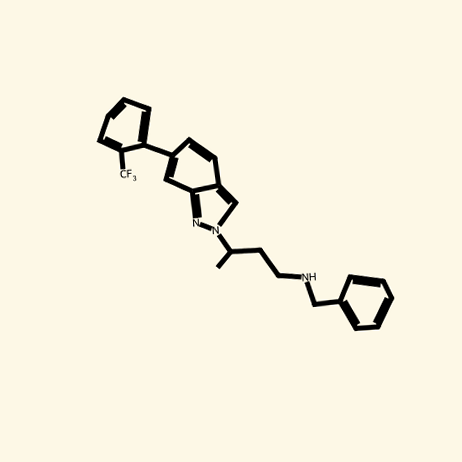 CC(CCNCc1ccccc1)n1cc2ccc(-c3ccccc3C(F)(F)F)cc2n1